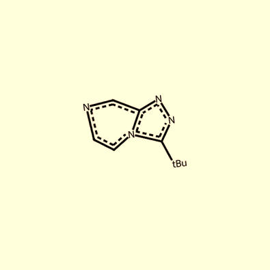 CC(C)(C)c1nnc2cnccn12